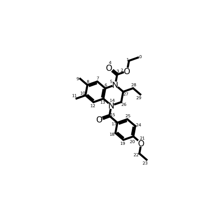 CCOC(=O)N1c2cc(C)c(C)cc2N(C(=O)c2ccc(OCC)cc2)CC1CC